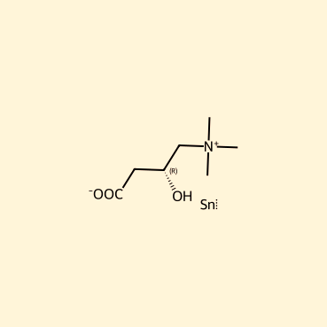 C[N+](C)(C)C[C@H](O)CC(=O)[O-].[Sn]